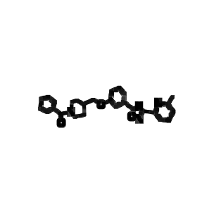 Cc1cccc(-c2noc(-c3cccc(OCC4CCN(C(=O)c5ccccc5)CC4)c3)n2)n1